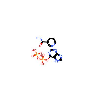 NC(=O)c1cccnc1.O=P(O)(O)OP(=O)(O)Oc1ncnc2nc[nH]c12